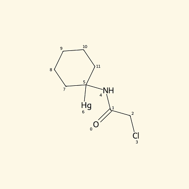 O=C(CCl)N[C]1([Hg])CCCCC1